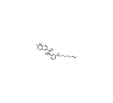 CC=CCCCCCOc1cccc(NC(=O)c2ccc3nc(C)ccc3c2)c1